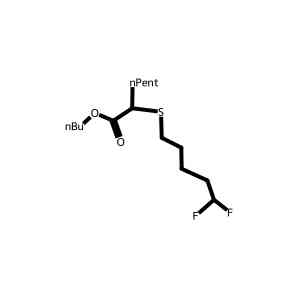 CCCCCC(SCCCCC(F)F)C(=O)OCCCC